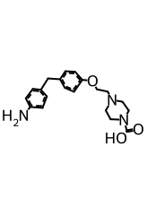 Nc1ccc(Cc2ccc(OCCN3CCN(C(=O)O)CC3)cc2)cc1